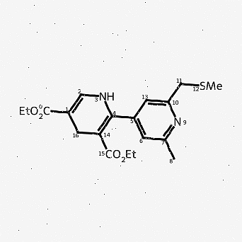 CCOC(=O)C1=CNC(c2cc(C)nc(CSC)c2)=C(C(=O)OCC)C1